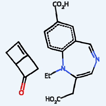 CCN1C(CC(=O)O)=CN=Cc2cc(C(=O)O)ccc21.O=C1CC2=CCC12